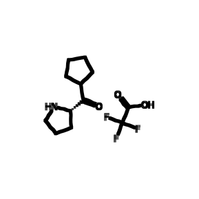 O=C(C1CCCC1)[C@@H]1CCCN1.O=C(O)C(F)(F)F